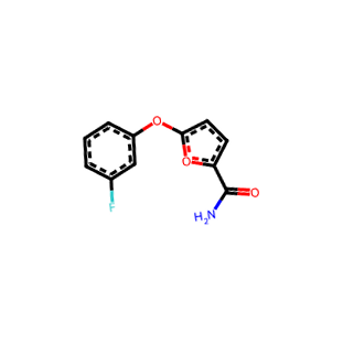 NC(=O)c1ccc(Oc2cccc(F)c2)o1